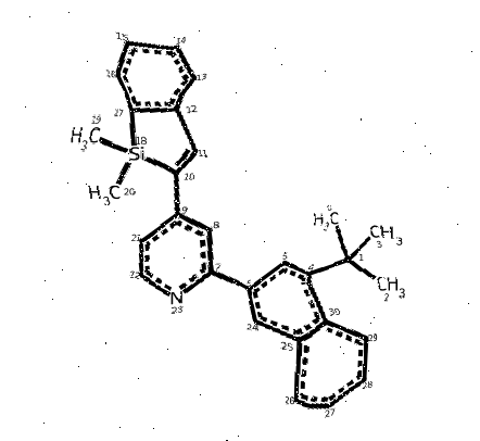 CC(C)(C)c1cc(-c2cc(C3=Cc4ccccc4[Si]3(C)C)ccn2)cc2ccccc12